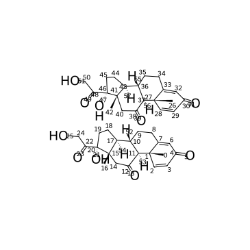 C[C@]12C=CC(=O)C=C1CC[C@@H]1[C@@H]2C(=O)C[C@@]2(C)[C@H]1CC[C@]2(O)C(=O)CO.C[C@]12C=CC(=O)C=C1CC[C@@H]1[C@@H]2C(=O)C[C@@]2(C)[C@H]1CC[C@]2(O)C(=O)CO